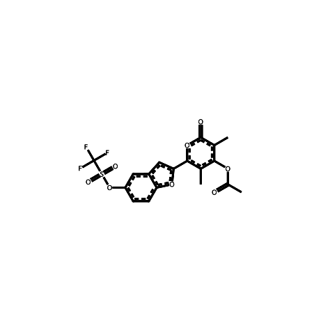 CC(=O)Oc1c(C)c(-c2cc3cc(OS(=O)(=O)C(F)(F)F)ccc3o2)oc(=O)c1C